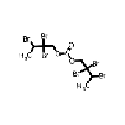 CC(Br)C(Br)(Br)COS(=O)OCC(Br)(Br)C(C)Br